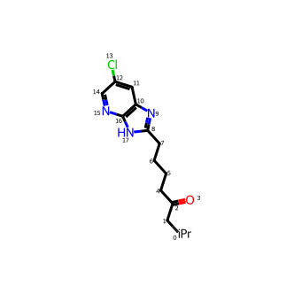 CC(C)CC(=O)CCCCc1nc2cc(Cl)cnc2[nH]1